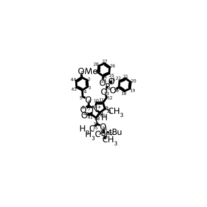 COc1ccc(COC(=O)[N+]23C=C(COP(=O)(Oc4ccccc4)Oc4ccccc4)[C@H](C)[C@H]2[C@@H](C(C)O[Si](C)(C)C(C)(C)C)C3=O)cc1